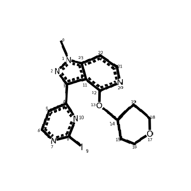 Cn1nc(-c2ccnc(I)n2)c2c(OC3CCOCC3)nccc21